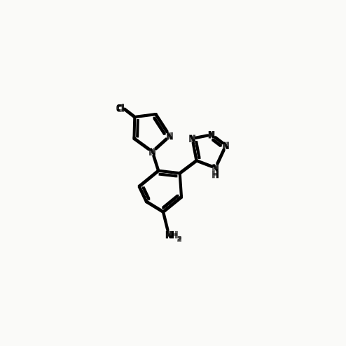 Nc1ccc(-n2cc(Cl)cn2)c(-c2nnn[nH]2)c1